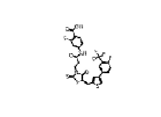 O=C(CCN1C(=O)C(=Cc2cc(-c3ccc(F)c(C(F)(F)F)c3)cs2)SC1=S)Nc1ccc(C(=O)O)c(F)c1